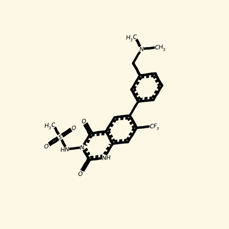 CN(C)Cc1cccc(-c2cc3c(=O)n(NS(C)(=O)=O)c(=O)[nH]c3cc2C(F)(F)F)c1